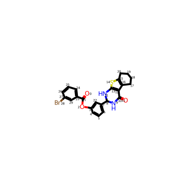 O=C(Oc1cccc(C2NC(=O)c3c(sc4c3CCCC4)N2)c1)c1cccc(Br)c1